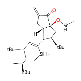 C=C1C[C@H]2[C@@H](C(=C[C@H](C[C@H](C)CCCC)C(C)(C)C)[SiH](C)C)[C@H](C(C)(C)C)C[C@@]2(O[SiH](C)C)C1=O